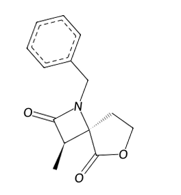 C[C@H]1C(=O)N(Cc2ccccc2)[C@]12CCOC2=O